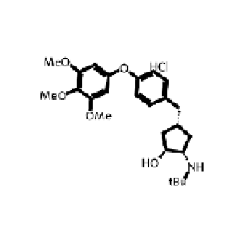 COc1cc(Oc2ccc(C[C@@H]3C[C@H](NC(C)(C)C)[C@@H](O)C3)cc2)cc(OC)c1OC.Cl